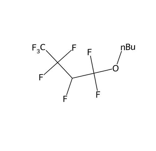 CCCCOC(F)(F)C(F)C(F)(F)C(F)(F)F